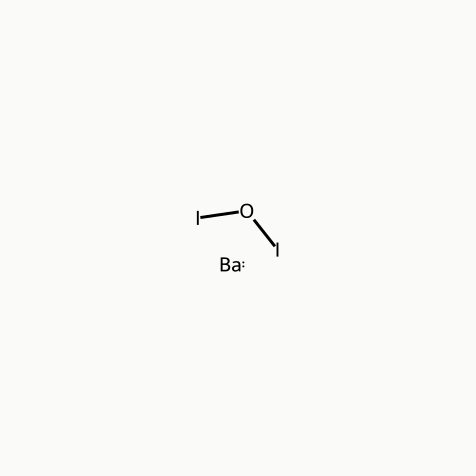 IOI.[Ba]